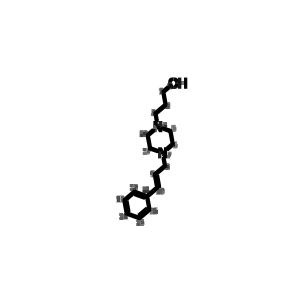 OCCCN1CCN(C/C=C/c2ccccc2)CC1